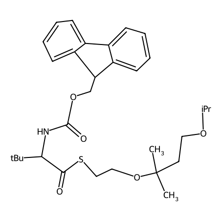 CC(C)OCCC(C)(C)OCCSC(=O)C(NC(=O)OCC1c2ccccc2-c2ccccc21)C(C)(C)C